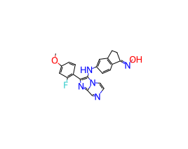 COc1ccc(-c2nc3cnccn3c2Nc2ccc3c(c2)CC/C3=N\O)c(F)c1